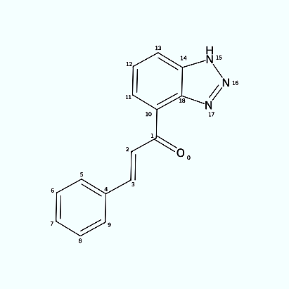 O=C(C=Cc1ccccc1)c1cccc2[nH]nnc12